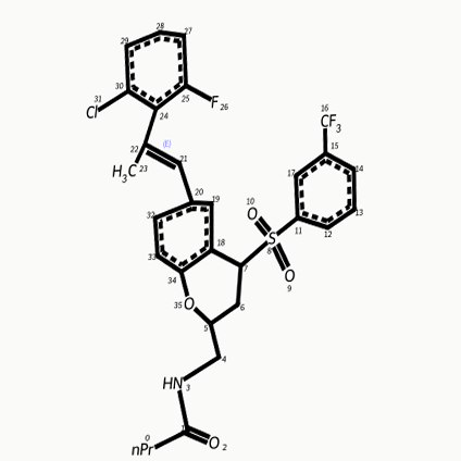 CCCC(=O)NCC1CC(S(=O)(=O)c2cccc(C(F)(F)F)c2)c2cc(/C=C(\C)c3c(F)cccc3Cl)ccc2O1